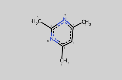 [CH2]c1nc(C)cc(C)n1